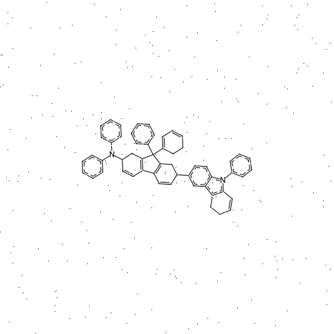 C1=CCCC(C2(c3ccccc3)C3=C(C=CC(c4ccc5c(c4)c4c(n5-c5ccccc5)C=CCC4)C3)C3=C2CC(N(c2ccccc2)c2ccccc2)C=C3)=C1